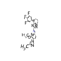 COc1nc(/C=C/c2nc3n(n2)CCC[C@@H]3c2cc(F)c(F)c(F)c2)ccc1-n1cnc(C)c1